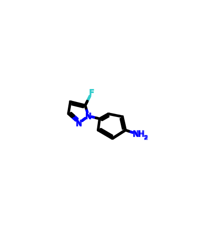 Nc1ccc(-n2nccc2F)cc1